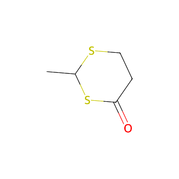 CC1SCCC(=O)S1